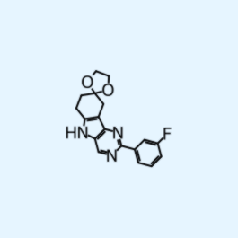 Fc1cccc(-c2ncc3[nH]c4c(c3n2)CC2(CC4)OCCO2)c1